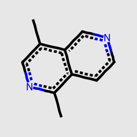 Cc1cnc(C)c2ccncc12